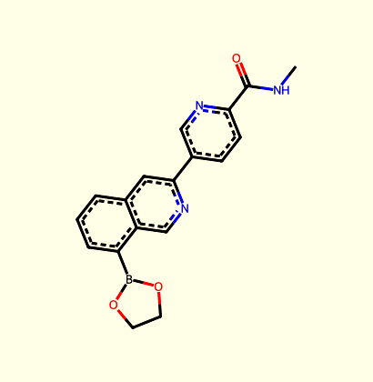 CNC(=O)c1ccc(-c2cc3cccc(B4OCCO4)c3cn2)cn1